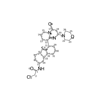 O=C(CCl)Nc1ccc2sc3c(-c4cccn5c(=O)cc(N6CCOCC6)nc45)cccc3c2c1